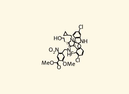 COC(=O)c1cc([N+](=O)[O-])c(CN[C@@H]2[C@H](CCO)N(CC3CC3)[C@@]3(C(=O)Nc4cc(Cl)ccc43)[C@H]2c2cccc(Cl)c2F)cc1OC